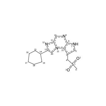 CS(=O)(=O)Cc1c[nH]c2ncc3nc(C4CCCCC4)cn3c12